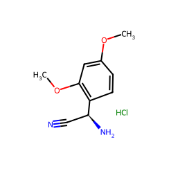 COc1ccc([C@@H](N)C#N)c(OC)c1.Cl